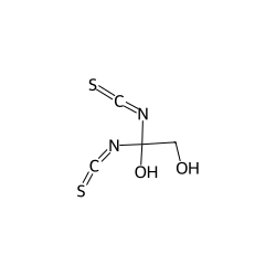 OCC(O)(N=C=S)N=C=S